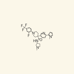 CN1CC[C@H](NC(=O)C2(c3ccc(-c4cccn4C)nc3)CCN(c3ccc(C(F)(F)F)cc3F)CC2)C1